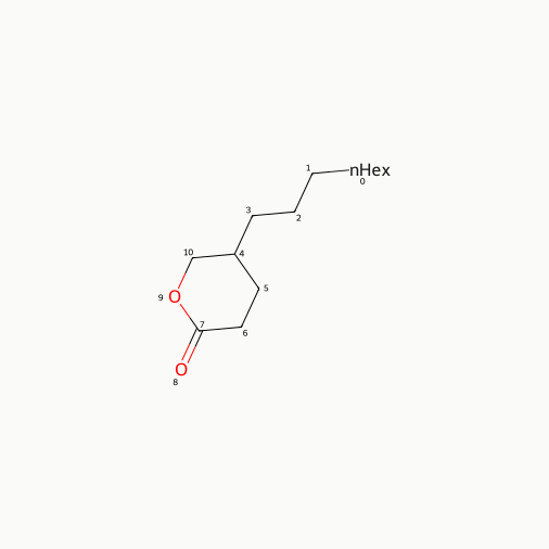 CCCCCCCCCC1CCC(=O)OC1